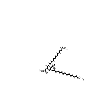 CCCCCCCCCCCCCCCCC(CC(=O)O)SC(CCCCCCCCCCCCCCCC)CC(=O)O